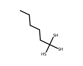 CCCCCC(S)(S)S